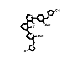 COc1cc(-c2nccc(-c3cccc(-c4ccc(CN5CC[C@H](O)C5)c(OC)n4)c3Cl)c2Cl)ccc1CN1CC[C@H](O)C1